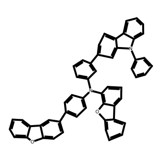 c1ccc(-n2c3ccccc3c3ccc(-c4cccc(N(c5ccc(-c6ccc7oc8ccccc8c7c6)cc5)c5cccc6c5oc5ccccc56)c4)cc32)cc1